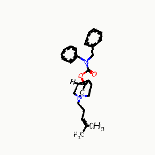 CC(C)=CCC[N+]12CCC(CC1)[C@@H](OC(=O)N(Cc1ccccc1)c1ccccc1)C2